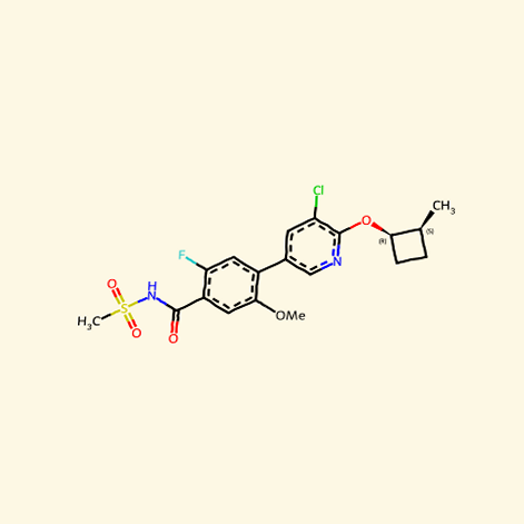 COc1cc(C(=O)NS(C)(=O)=O)c(F)cc1-c1cnc(O[C@@H]2CC[C@@H]2C)c(Cl)c1